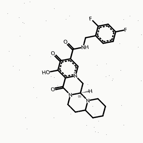 O=C(NCc1ccc(F)cc1F)c1cn2c(c(O)c1=O)C(=O)N1CCC3CCCCN3[C@@H]1C2